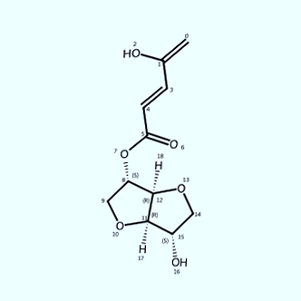 C=C(O)C=CC(=O)O[C@H]1CO[C@H]2[C@@H]1OC[C@@H]2O